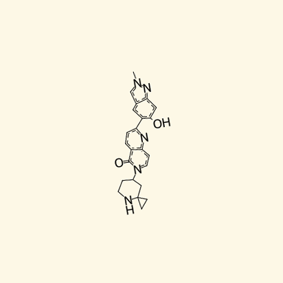 Cn1cc2cc(-c3ccc4c(=O)n(C5CCNC6(CC6)C5)ccc4n3)c(O)cc2n1